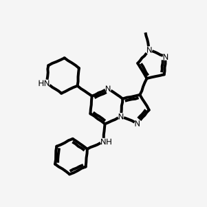 Cn1cc(-c2cnn3c(Nc4ccccc4)cc(C4CCCNC4)nc23)cn1